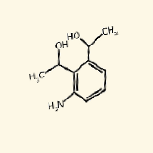 CC(O)c1cccc(N)c1C(C)O